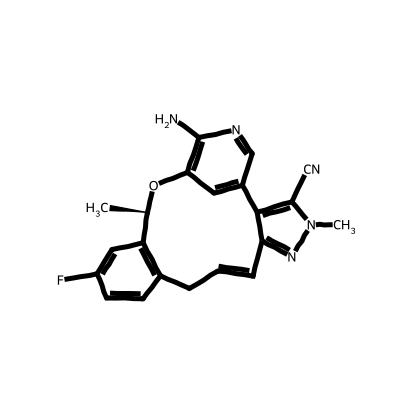 C[C@H]1Oc2cc(cnc2N)-c2c(nn(C)c2C#N)/C=C/Cc2ccc(F)cc21